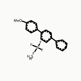 COc1ccc(-c2ccc(-c3ccccc3)cc2)cc1.F[B-](F)(F)F.S.[H+]